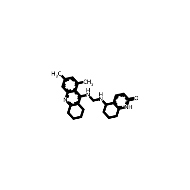 Cc1cc(C)c2c(NCNC3CCCc4[nH]c(=O)ccc43)c3c(nc2c1)CCCC3